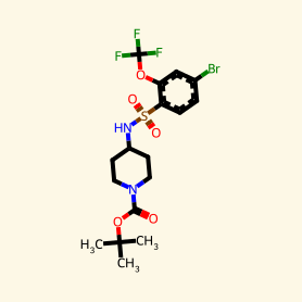 CC(C)(C)OC(=O)N1CCC(NS(=O)(=O)c2ccc(Br)cc2OC(F)(F)F)CC1